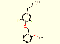 CC(C)Oc1ccccc1COc1c(F)cc(CCC(=O)O)cc1F